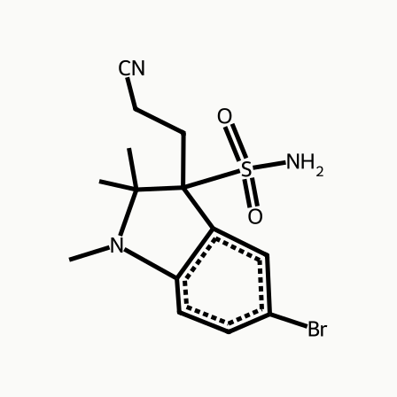 CN1c2ccc(Br)cc2C(CCC#N)(S(N)(=O)=O)C1(C)C